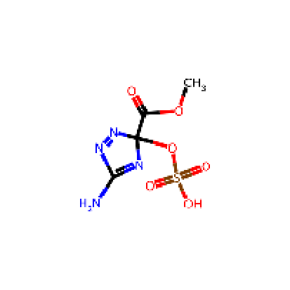 COC(=O)C1(OS(=O)(=O)O)N=NC(N)=N1